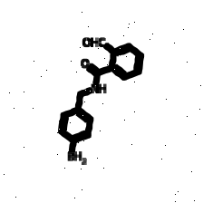 Bc1ccc(CNC(=O)c2ccccc2C=O)cc1